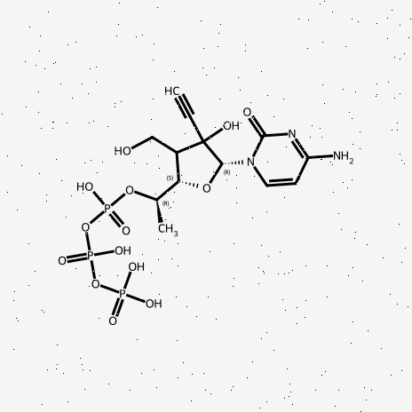 C#CC1(O)C(CO)[C@@H]([C@@H](C)OP(=O)(O)OP(=O)(O)OP(=O)(O)O)O[C@H]1n1ccc(N)nc1=O